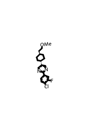 COCC[C@H]1CC[C@H](c2cnc(-c3ccc(Cl)c(F)c3)nc2)CC1